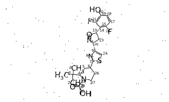 CC(C)(C)C1CC(c2nc(C3=NOC(c4c(F)ccc(O)c4F)C3)cs2)CCN1C(=O)O